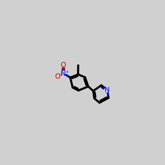 Cc1cc(-c2cccnc2)ccc1[N+](=O)[O-]